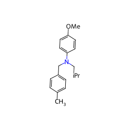 COc1ccc(N(Cc2ccc(C)cc2)CC(C)C)cc1